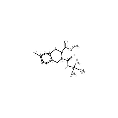 COC(=O)C1Cc2cc(Cl)ccc2CN1C(=O)OC(C)(C)C